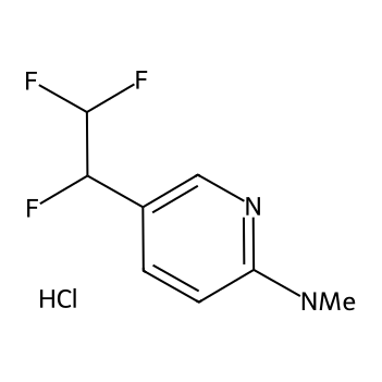 CNc1ccc(C(F)C(F)F)cn1.Cl